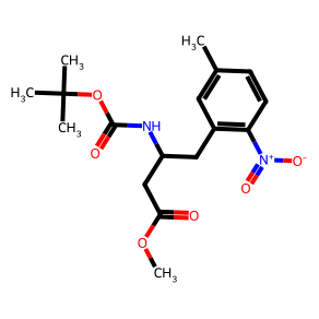 COC(=O)CC(Cc1cc(C)ccc1[N+](=O)[O-])NC(=O)OC(C)(C)C